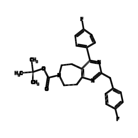 CC(C)(C)OC(=O)N1CCc2nc(Cc3ccc(F)cc3)nc(-c3ccc(F)cc3)c2CC1